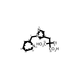 CCC(Cc1cnn(Cc2ccccn2)c1)(C(=O)O)C(=O)O